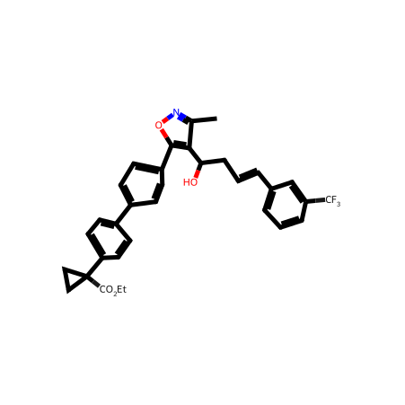 CCOC(=O)C1(c2ccc(-c3ccc(-c4onc(C)c4C(O)CC=Cc4cccc(C(F)(F)F)c4)cc3)cc2)CC1